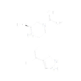 CC(CC[C@H]1CN(C(C)C)C[C@H](C)N1)c1cn[nH]c1